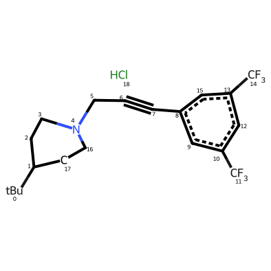 CC(C)(C)C1CCN(CC#Cc2cc(C(F)(F)F)cc(C(F)(F)F)c2)CC1.Cl